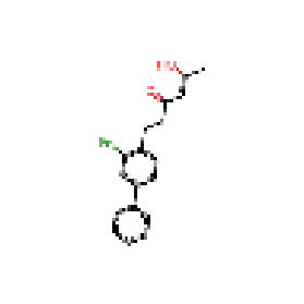 C/C(O)=C/C(=O)CCc1ccc(-c2ccccc2)cc1Br